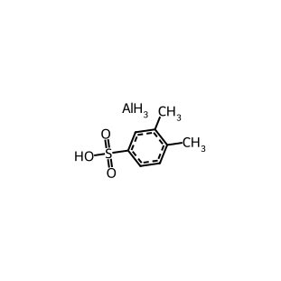 Cc1ccc(S(=O)(=O)O)cc1C.[AlH3]